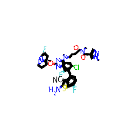 CN(C(=O)CCCN(C)c1nc(OC[C@@]23CCCN2C[C@H](F)C3)nc2c(F)c(-c3ccc(F)c4sc(N)c(C#N)c34)c(Cl)cc12)C(=O)c1cnn(C)c1